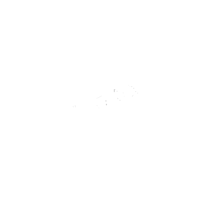 C#CCOc1ccc(-c2nc3cnncc3[nH]2)c([S+](C)[O-])c1